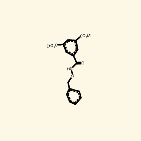 CCOC(=O)c1cc(C(=O)NOCc2ccccc2)cc(C(=O)OCC)c1